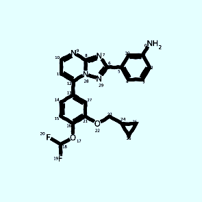 Nc1cccc(-c2nc3nccc(-c4ccc(OC(F)F)c(OCC5CC5)c4)n3n2)c1